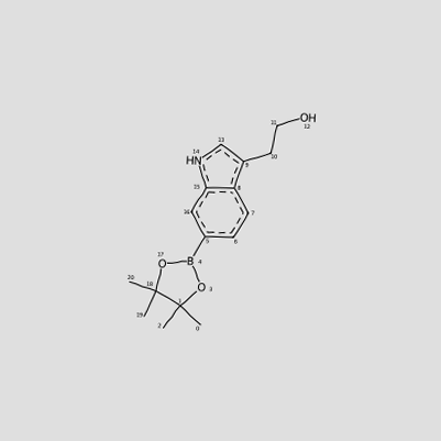 CC1(C)OB(c2ccc3c(CCO)c[nH]c3c2)OC1(C)C